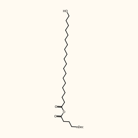 CCCCCCCCCCCCCC(=O)OC(=O)CCCCCCCCCCCCCCCCCCCO